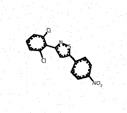 O=[N+]([O-])c1ccc(-c2cc(-c3c(Cl)cccc3Cl)ns2)cc1